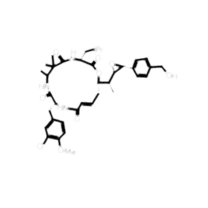 COc1ccc(C[C@H]2NC(=O)/C=C/C[C@@H]([C@H](C)[C@H]3O[C@@H]3c3ccc(CO)cc3)OC(=O)[C@H](CC(C)C)NC(=O)C(C)(C)C(C)NC2=O)cc1Cl